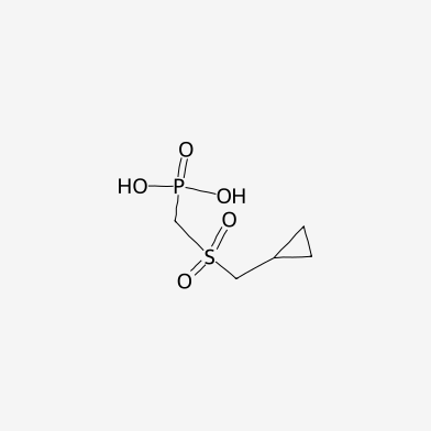 O=P(O)(O)CS(=O)(=O)CC1CC1